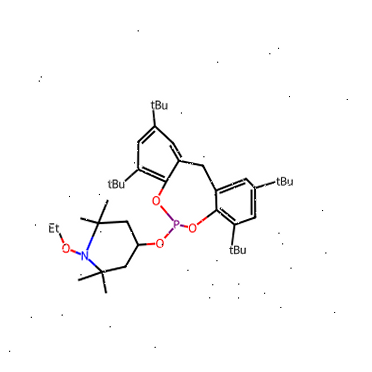 CCON1C(C)(C)CC(OP2Oc3c(cc(C(C)(C)C)cc3C(C)(C)C)Cc3cc(C(C)(C)C)cc(C(C)(C)C)c3O2)CC1(C)C